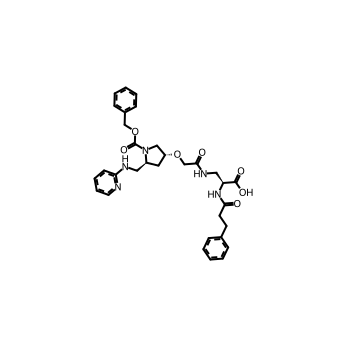 O=C(CO[C@@H]1C[C@@H](CNc2ccccn2)N(C(=O)OCc2ccccc2)C1)NC[C@H](NC(=O)CCc1ccccc1)C(=O)O